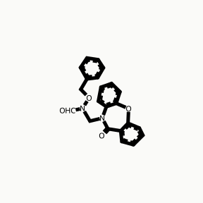 O=CN(CN1C(=O)c2ccccc2Oc2ccccc21)OCc1ccccc1